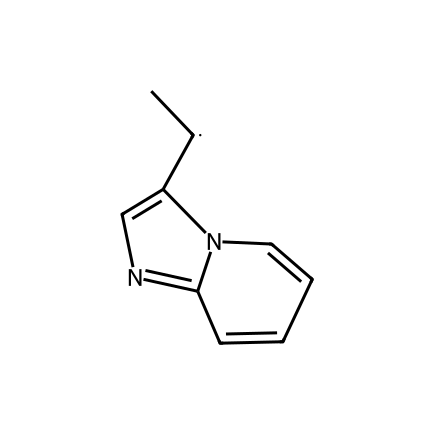 C[CH]c1cnc2ccccn12